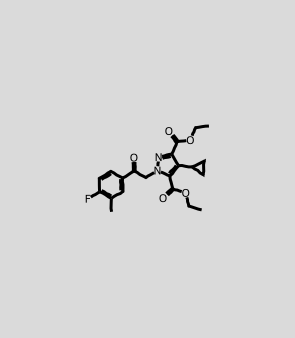 CCOC(=O)c1nn(CC(=O)c2ccc(F)c(C)c2)c(C(=O)OCC)c1C1CC1